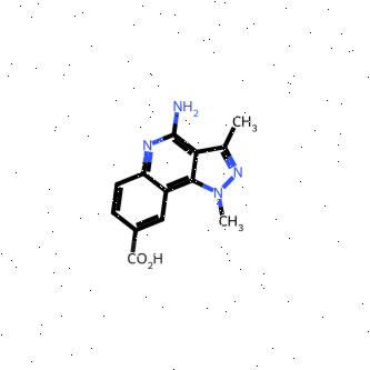 Cc1nn(C)c2c1c(N)nc1ccc(C(=O)O)cc12